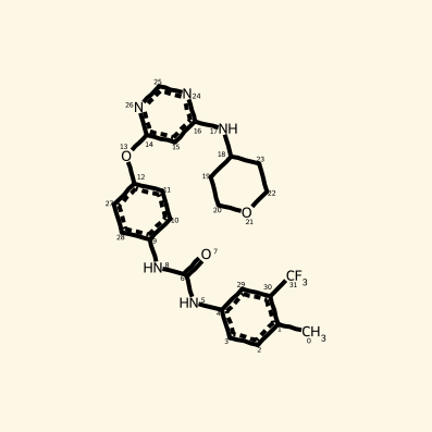 Cc1ccc(NC(=O)Nc2ccc(Oc3cc(NC4CCOCC4)ncn3)cc2)cc1C(F)(F)F